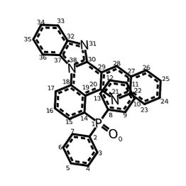 O=P(c1ccccc1)(c1ccccc1)c1cccc2c1c1nc3ccccc3cc1c1nc3ccccc3n21